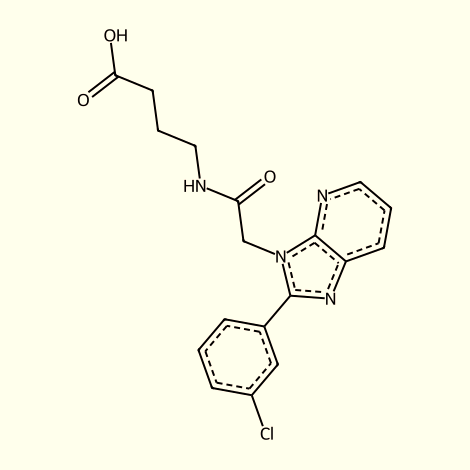 O=C(O)CCCNC(=O)Cn1c(-c2cccc(Cl)c2)nc2cccnc21